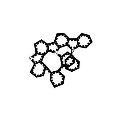 c1ccc(-n2c3ccccc3c3ccc4c5ccc6sc7cccc8c9ccccc9c9ccccc9n(c5c6c78)c4c32)cc1